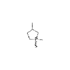 CC1CCP(C)(=S)C1